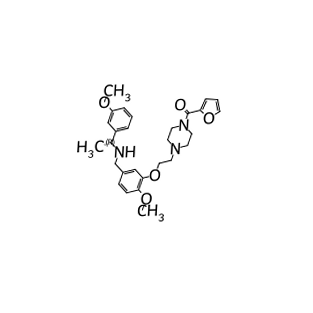 COc1cccc([C@@H](C)NCc2ccc(OC)c(OCCN3CCN(C(=O)c4ccco4)CC3)c2)c1